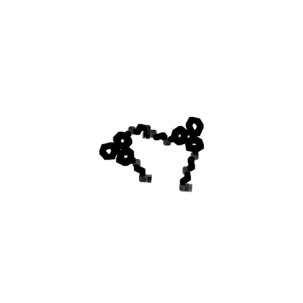 OCCOCCOc1ccc(C2(c3ccc(OCCO)cc3)CCCCC2)cc1.OCCOc1ccc(C2(c3ccc(OCCO)cc3)CCCCC2)cc1